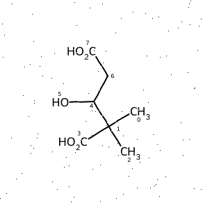 CC(C)(C(=O)O)C(O)CC(=O)O